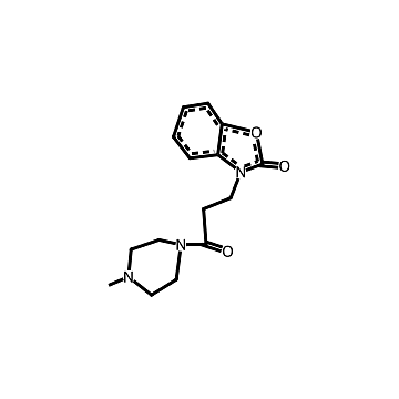 CN1CCN(C(=O)CCn2c(=O)oc3ccccc32)CC1